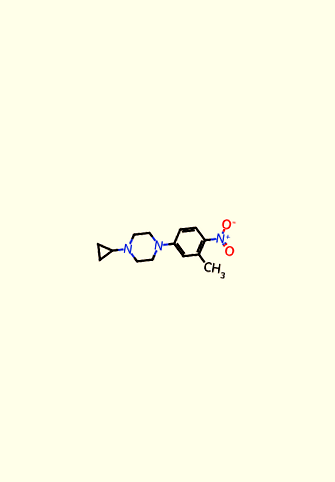 Cc1cc(N2CCN(C3CC3)CC2)ccc1[N+](=O)[O-]